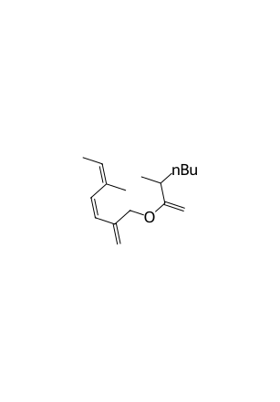 C=C(/C=C\C(C)=C/C)COC(=C)C(C)CCCC